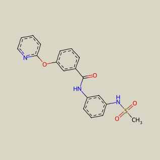 CS(=O)(=O)Nc1cccc(NC(=O)c2cccc(Oc3ccccn3)c2)c1